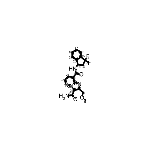 COCc1nc2c(C(=O)NC3CC(F)(F)c4ccccc43)ccnn2c1C(N)=O